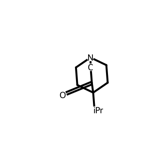 CC(C)C12CCN(CC1)CC2=O